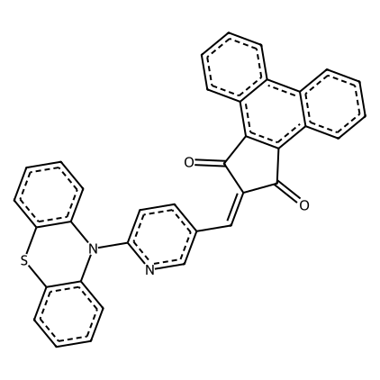 O=C1C(=Cc2ccc(N3c4ccccc4Sc4ccccc43)nc2)C(=O)c2c1c1ccccc1c1ccccc21